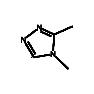 Cc1nn[c]n1C